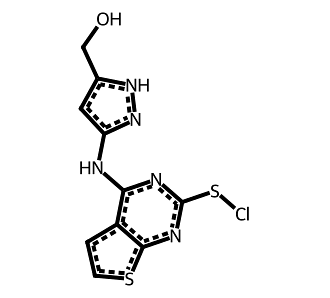 OCc1cc(Nc2nc(SCl)nc3sccc23)n[nH]1